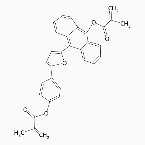 C=C(C)C(=O)Oc1ccc(-c2ccc(-c3c4ccccc4c(OC(=O)C(=C)C)c4ccccc34)o2)cc1